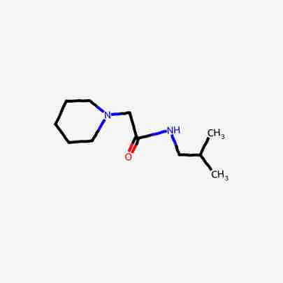 CC(C)CNC(=O)CN1CCCCC1